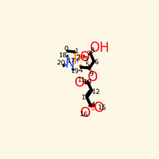 CCP(=O)(CC(CCO)OC(=O)/C=C/C(=O)[O-])[N+](C)(C)C